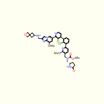 COc1nc(-c2cccc(-c3ccnc(-c4cc(OC)c5nc(CNC6CC7(COC7)C6)cn5c4)c3Cl)c2Cl)ccc1CN(C[C@@H]1CCC(=O)N1)C(=O)OC(C)(C)C